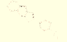 COc1ccc(C2=Cc3cc4ccccc4cc3C2)cc1